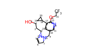 OCCCN1C=CCN1Cc1cnc(OCC(F)(F)F)c(C2CC2)c1